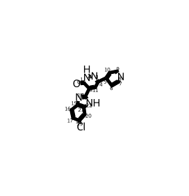 O=c1[nH]nc(-c2ccncc2)cc1-c1nc2ccc(Cl)cc2[nH]1